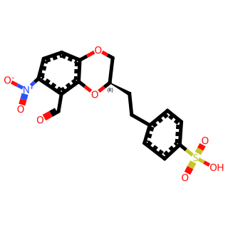 O=Cc1c([N+](=O)[O-])ccc2c1O[C@H](CCc1ccc(S(=O)(=O)O)cc1)CO2